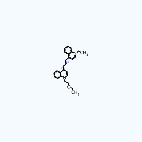 CCOCCN1C=C/C(=C\C=C\c2cc[n+](CC)c3ccccc23)c2ccccc21